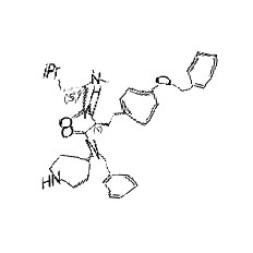 CC(C)C[C@@H](C(=O)N[C@@H](Cc1ccc(OCc2ccccc2)cc1)C(=O)N(Cc1ccccc1)C1CCNCC1)N(C)C